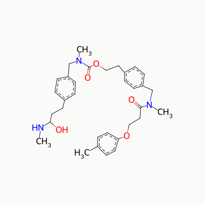 CNC(O)CCc1ccc(CN(C)C(=O)OCCc2ccc(CN(C)C(=O)CCOc3ccc(C)cc3)cc2)cc1